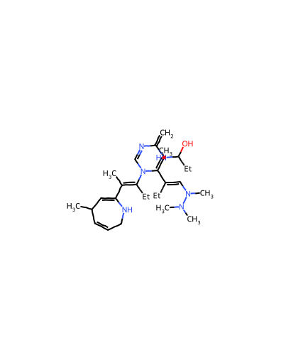 C=C(/N=C\N(C(=C\C)/C(=C/N(C)N(C)C)CC)/C(CC)=C(\C)C1=CC(C)C=CCN1)NC(O)CC